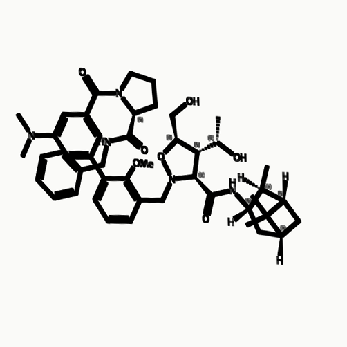 COc1c(CN2O[C@@H](CO)[C@H]([C@H](C)O)[C@H]2C(=O)N[C@H]2C[C@H]3C[C@@H]([C@@H]2C)C3(C)C)cccc1-c1cc(C(=O)N2CCC[C@H]2C(=O)NCc2ccccc2)cc(N(C)C)c1